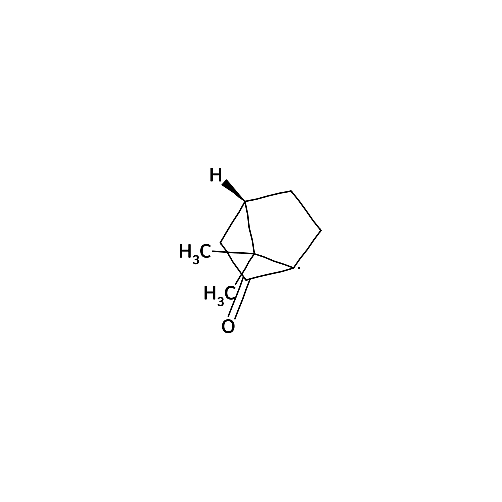 CC1(C)[C]2CC[C@H]1CC2=O